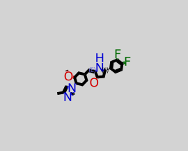 COC1CC(/C=C2/N[C@H](c3ccc(F)c(F)c3)CC2=O)CCC1n1cnc(C)c1